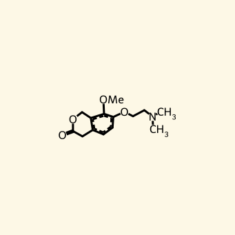 COc1c(OCCN(C)C)ccc2c1COC(=O)C2